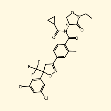 CCN1OC[C@@H](N(C(=O)c2ccc(C3=NOC(c4cc(Cl)cc(Cl)c4)(C(F)(F)F)C3)cc2C)C(=O)C2CC2)C1=O